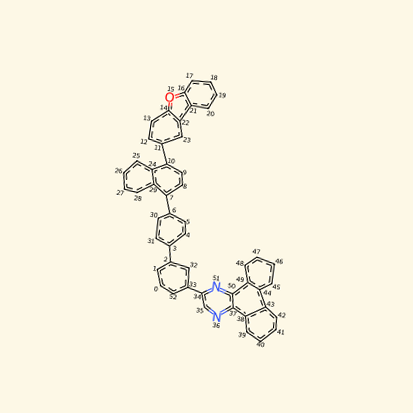 c1cc(-c2ccc(-c3ccc(-c4ccc5oc6ccccc6c5c4)c4ccccc34)cc2)cc(-c2cnc3c4ccccc4c4ccccc4c3n2)c1